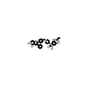 C=CC(=O)Nc1cc2c(cc1Cl)[nH]c(=O)n2C1CCN(Cc2ccc(-c3nc4cc[nH]c(=O)c4cc3-c3ccccc3)cc2)CC1